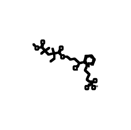 CCC(C)(CC(C)(C)C(=O)OC)C(=O)OCCCC(Cl)c1cccc[n+]1CCCS(=O)(=O)[O-]